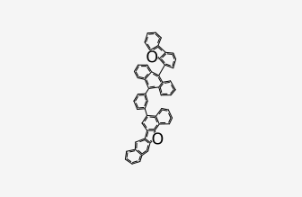 c1cc(-c2c3ccccc3c(-c3cccc4c3oc3ccccc34)c3ccccc23)cc(-c2cc3c4cc5ccccc5cc4oc3c3ccccc23)c1